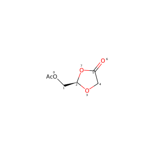 CC(=O)OC[C@@H]1OCC(=O)O1